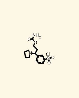 NC(=O)OCCC(c1cccc(S(=O)(=O)Cl)c1)N1CCCC1